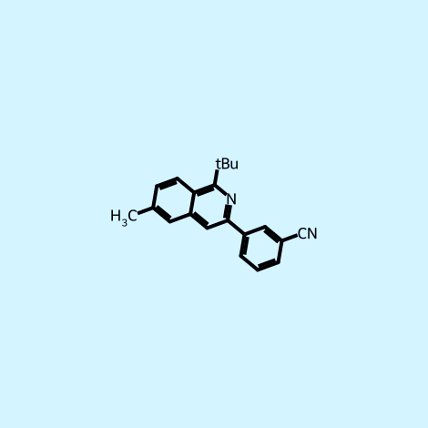 Cc1ccc2c(C(C)(C)C)nc(-c3cccc(C#N)c3)cc2c1